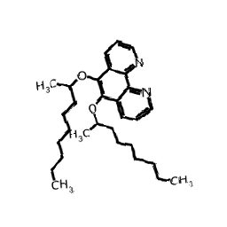 CCCCCCCC(C)Oc1c(OC(C)CCCCCCC)c2cccnc2c2ncccc12